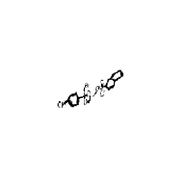 O=S(=O)(OC[C@@H]1CO[C@](CBr)(c2ccc(Cl)cc2)O1)c1ccc2ccccc2c1